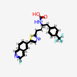 O=C(O)N[C@H](CCc1ncc(-c2ccc3cnc(F)cc3c2)s1)Cc1ccc(C(F)(F)F)cc1